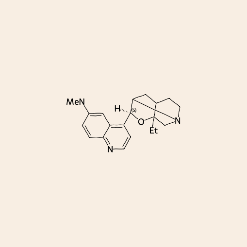 CCC12CN3CCC1CC3[C@H](c1ccnc3ccc(NC)cc13)O2